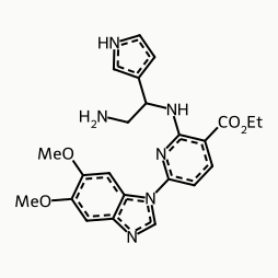 CCOC(=O)c1ccc(-n2cnc3cc(OC)c(OC)cc32)nc1NC(CN)c1cc[nH]c1